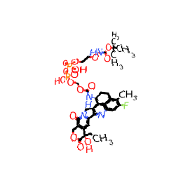 CC[C@@]1(O)C(=O)OCc2c1cc1n(c2=O)Cc2c-1nc1cc(F)c(C)c3c1c2[C@@H](NC(=O)OCOP(=O)(O)OP(=O)(O)OCCONC(=O)OC(C)(C)C)CC3